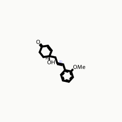 COc1ccccc1/C=C/C[C@@]1(O)C=CC(=O)CC1